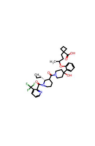 CCC[C@@H]1C(C(=O)N2CCC(O)(c3ccccc3OC(C)CCC3(C(=O)O)CCC3)CC2)CCCN1C(=O)c1ncccc1C(F)(F)F